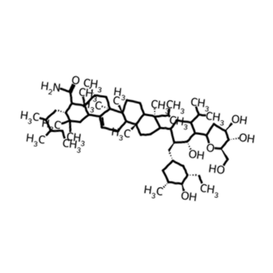 CCC(C)C(C)C[C@@H]1C(C(N)=O)[C@@]2(C)C(CC1(C)C)C1=CCC3[C@@]4(C)CCC(C5CC(C(C)C)C(C6C[C@@H](O)[C@H](O)[C@@H](CO)O6)[C@H](O)[C@H]5C[C@@H]5C[C@H](CC)[C@@H](O)[C@H](C)C5)[C@](C)(C(C)C)C4CC[C@@]3(C)[C@]1(C)C[C@H]2C